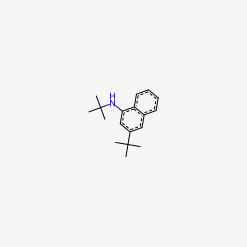 CC(C)(C)Nc1cc(C(C)(C)C)cc2ccccc12